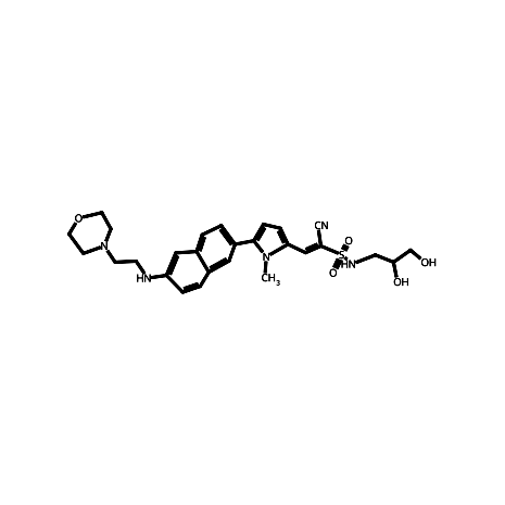 Cn1c(/C=C(\C#N)S(=O)(=O)NCC(O)CO)ccc1-c1ccc2cc(NCCN3CCOCC3)ccc2c1